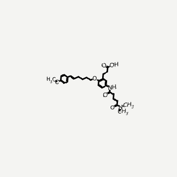 COc1ccc(/C=C/CCCCOc2ccc(NC(=O)CCCC(=O)N(C)C)cc2CCC(=O)O)cc1